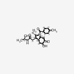 Cc1ccc(C(=O)n2c(C)c(CC(=O)NC(C)C)c3cc(O)c(Cl)cc32)cc1